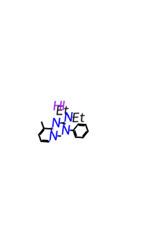 CCN(CC)C(=Nc1ccccc1)N=c1c(C)cccn1C.I